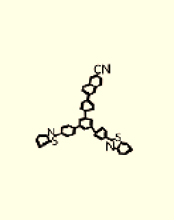 N#Cc1ccc2cc(-c3ccc(-c4cc(-c5ccc(-c6nc7ccccc7s6)cc5)cc(-c5ccc(-c6nc7ccccc7s6)cc5)c4)cc3)ccc2c1